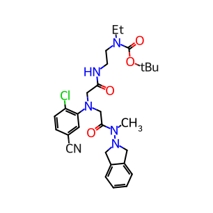 CCN(CCNC(=O)CN(CC(=O)N(C)N1Cc2ccccc2C1)c1cc(C#N)ccc1Cl)C(=O)OC(C)(C)C